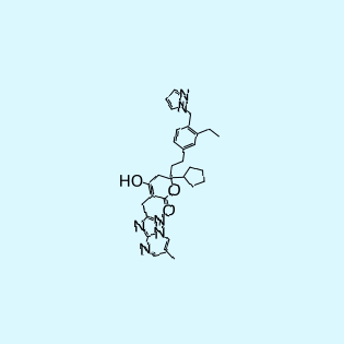 CCc1cc(CCC2(C3CCCC3)CC(O)=C(Cc3nc4ncc(C)cn4n3)C(=O)O2)ccc1Cn1cccn1